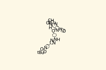 CC(C)(C)OC(=O)N1CC=C(c2cnc(NC3CCC(Oc4nc(N5CCOCC5)cc5ncc(NS(C)(=O)=O)cc45)CC3)nc2)CC1